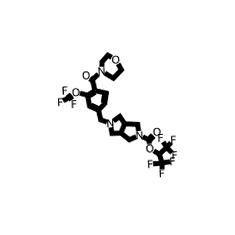 O=C(OC(C(F)(F)F)C(F)(F)F)N1CC2CN(Cc3ccc(C(=O)N4CCOCC4)c(OC(F)(F)F)c3)CC2C1